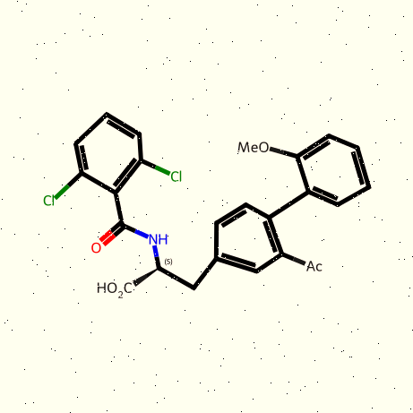 COc1ccccc1-c1ccc(C[C@H](NC(=O)c2c(Cl)cccc2Cl)C(=O)O)cc1C(C)=O